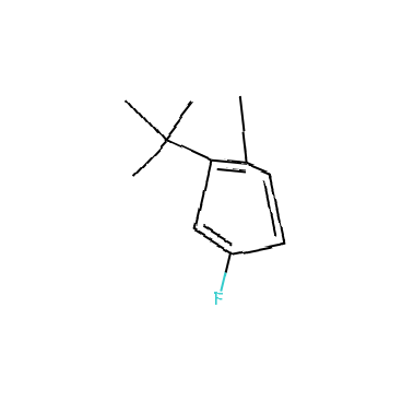 Cc1ccc(F)cc1C(C)(C)C